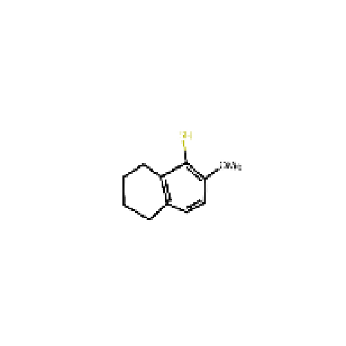 COc1ccc2c(c1S)CCCC2